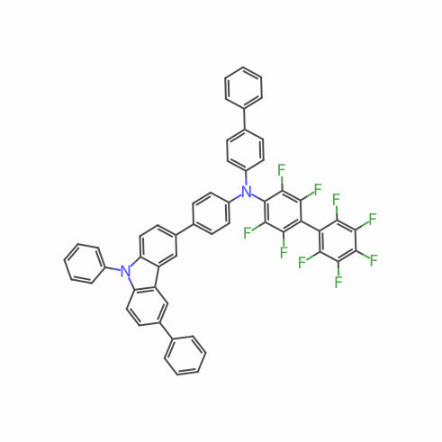 Fc1c(F)c(F)c(-c2c(F)c(F)c(N(c3ccc(-c4ccccc4)cc3)c3ccc(-c4ccc5c(c4)c4cc(-c6ccccc6)ccc4n5-c4ccccc4)cc3)c(F)c2F)c(F)c1F